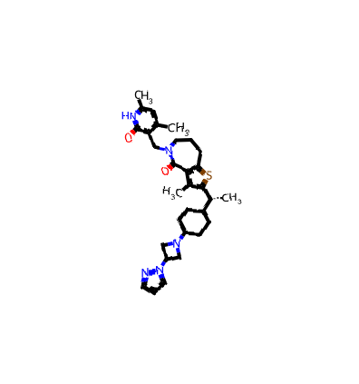 Cc1cc(C)c(CN2CCCc3sc([C@H](C)C4CCC(N5CC(n6cccn6)C5)CC4)c(C)c3C2=O)c(=O)[nH]1